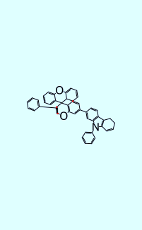 C1=CCC2C(=C1)Oc1ccccc1C21C2=C(CCC(c3ccccc3)=C2)Oc2cc(-c3ccc4c5c(n(-c6ccccc6)c4c3)C=CCC5)ccc21